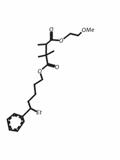 CCC(CCCCOC(=O)C(C)(C)C(C)C(=O)OCCOC)c1ccccc1